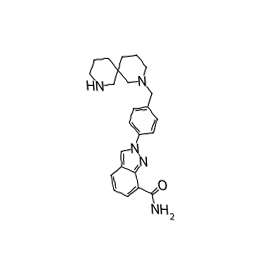 NC(=O)c1cccc2cn(-c3ccc(CN4CCCC5(CCCNC5)C4)cc3)nc12